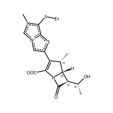 CCSc1c2sc(C3=C(C(=O)[O-])N4C(=O)[C@H]([C@@H](C)O)[C@H]4[C@H]3C)c[n+]2cn1C